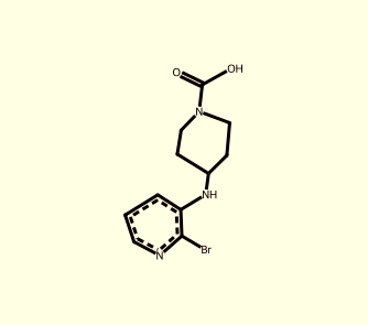 O=C(O)N1CCC(Nc2cccnc2Br)CC1